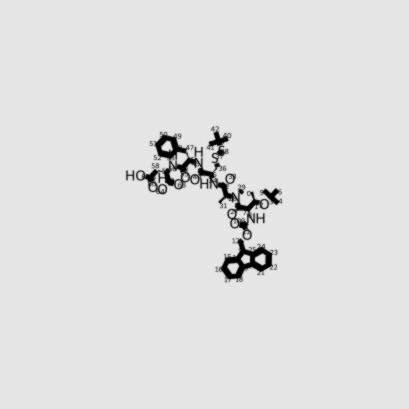 C[C@@H](OC(C)(C)C)[C@H](NC(=O)OCC1c2ccccc2-c2ccccc21)C(=O)N(C)[C@@H](C)C(=O)N[C@@H](CSSC(C)(C)C)C(=O)N[C@@H](Cc1ccccc1)C(=O)N[C@@H](CC(=O)O)C(=O)O